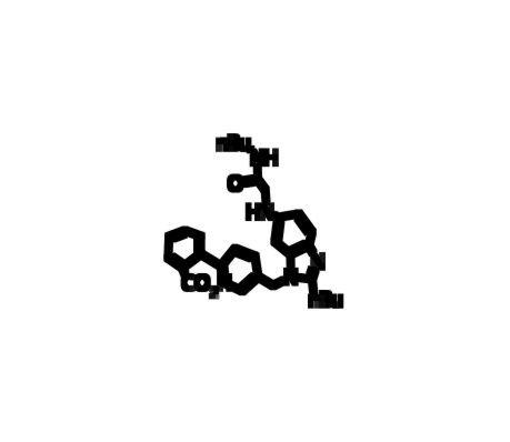 CCCCNC(=O)CNc1ccc2nc(CCCC)n(Cc3ccc(-c4ccccc4C(=O)O)cc3)c2c1